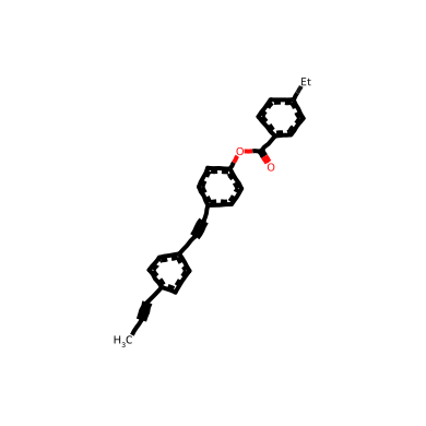 CC#Cc1ccc(C#Cc2ccc(OC(=O)c3ccc(CC)cc3)cc2)cc1